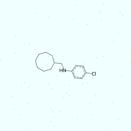 Clc1ccc(NCC2CCCCCCC2)cc1